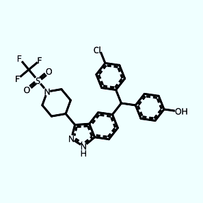 O=S(=O)(N1CCC(c2n[nH]c3ccc(C(c4ccc(O)cc4)c4ccc(Cl)cc4)cc23)CC1)C(F)(F)F